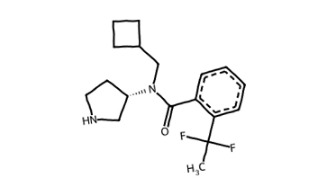 CC(F)(F)c1ccccc1C(=O)N(CC1CCC1)[C@H]1CCNC1